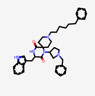 O=C1C(Cc2c[nH]c3ccccc23)NC(=O)C2(CCN(CCCCCCc3ccccc3)CC2)N1C1CCN(Cc2ccccc2)C1